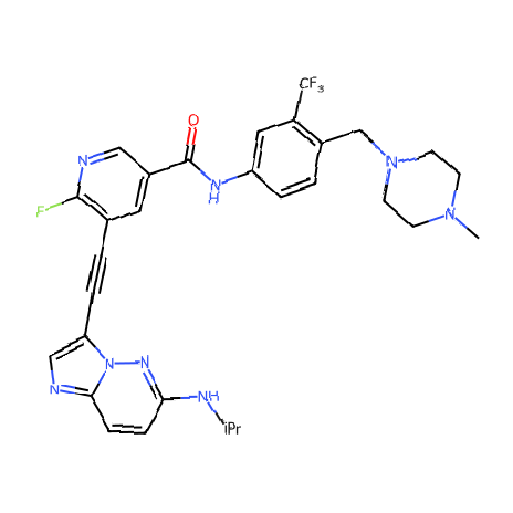 CC(C)Nc1ccc2ncc(C#Cc3cc(C(=O)Nc4ccc(CN5CCN(C)CC5)c(C(F)(F)F)c4)cnc3F)n2n1